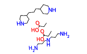 C(CC1CCNCC1)CC1CCNCC1.CCC(=O)O.CCC(=O)O.NCCCNCCCN